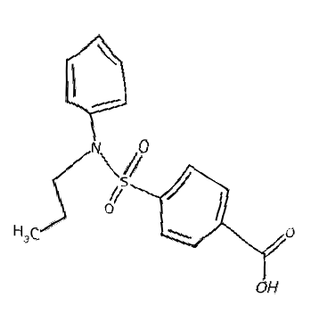 CCCN(c1ccccc1)S(=O)(=O)c1ccc(C(=O)O)cc1